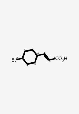 CCC1CCC(C=CC(=O)O)CC1